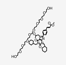 COC(=O)/C=C/c1ccc(-c2nc3c(c(=O)n(CC4CCCCC4)c(=O)n3CC3CCCCC3)n2CC(C)=O)cc1.OCCOCCOCCOCCOCCOCCOCCOCCOCCO